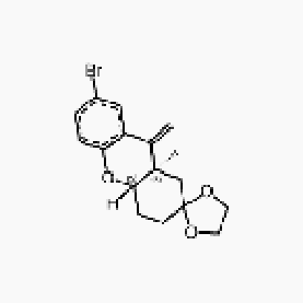 C=C1c2cc(Br)ccc2O[C@H]2CCC3(C[C@]12C)OCCO3